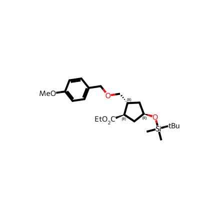 CCOC(=O)[C@@H]1C[C@H](O[Si](C)(C)C(C)(C)C)C[C@H]1COCc1ccc(OC)cc1